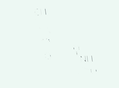 CCc1ccc([C@H]2CC(C3CCC(=O)NC3=O)CO2)cc1